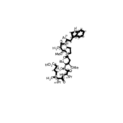 CC[C@H](C)[C@@H]([C@@H](CC(=O)N1CCC[C@H]1[C@H](OC)[C@@H](C)C(=O)N[C@@H](Cc1c[nH]c2ccccc12)C(C)=O)OC)N(C)C(=O)[C@@H](NC(=O)[C@H](C(C)C)N(C)CCCC(=O)O)C(C)C